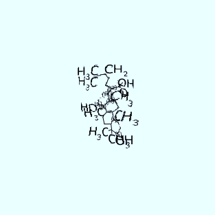 C=C(CC[C@@H](C(=O)O)[C@H]1C[C@H](O)[C@@]2(C)C3=C(CC[C@]12C)[C@@]1(C)CC[C@H](O)C(C)(C)C1CC3)C(C)C